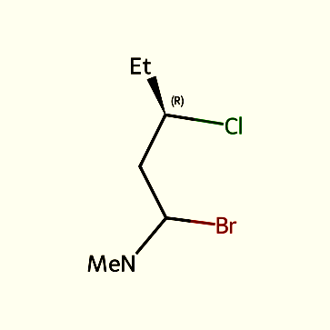 CC[C@@H](Cl)CC(Br)NC